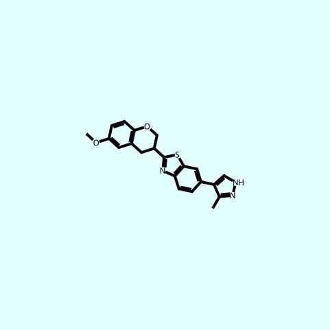 COc1ccc2c(c1)CC(c1nc3ccc(-c4c[nH]nc4C)cc3s1)CO2